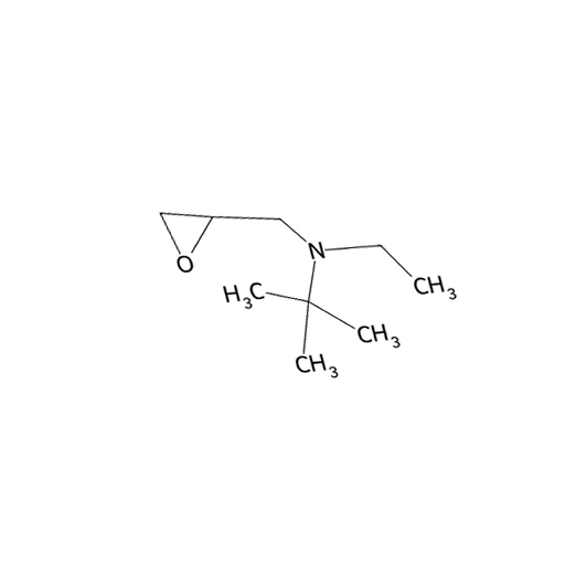 CCN(CC1CO1)C(C)(C)C